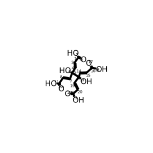 O=C(O)C=CC(O)(C=CC(=O)O)C(O)(C=CC(=O)O)C=CC(=O)O